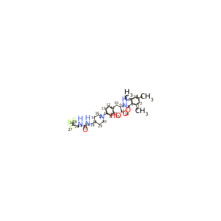 Cc1cc(C)c(C(=O)NC(Cc2ccc(N3CCC(CNC(=O)NCC(F)(F)F)CC3)cc2)C(=O)O)c(C)c1